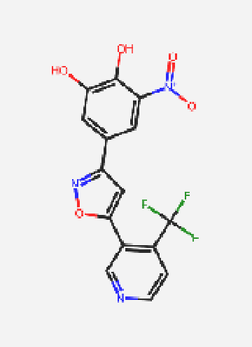 O=[N+]([O-])c1cc(-c2cc(-c3cnccc3C(F)(F)F)on2)cc(O)c1O